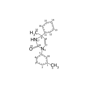 Cc1cccc(N2C=CC(C)(c3ccccc3)NC2=O)c1